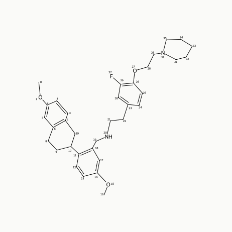 COc1ccc2c(c1)CCC(c1ccc(OC)cc1CNCCc1ccc(OCCN3CCCCC3)c(F)c1)C2